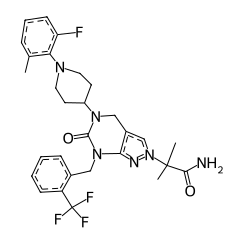 Cc1cccc(F)c1N1CCC(N2Cc3cn(C(C)(C)C(N)=O)nc3N(Cc3ccccc3C(F)(F)F)C2=O)CC1